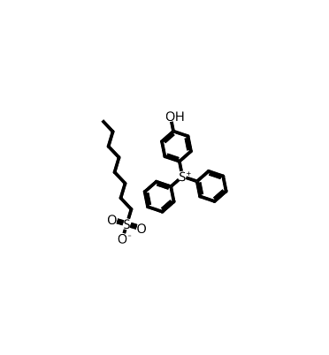 CCCCCCCCS(=O)(=O)[O-].Oc1ccc([S+](c2ccccc2)c2ccccc2)cc1